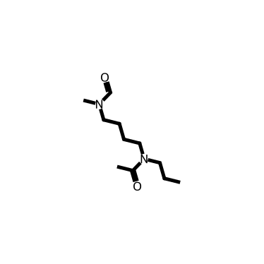 CCCN(CCCCN(C)C=O)C(C)=O